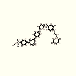 CCS(=O)(=O)c1ccc([C@H](CO)NC(=O)c2ccc(N3CC[C@@H](Cc4ccc(OCCN5CCOCC5)cc4)C3)cc2)cc1